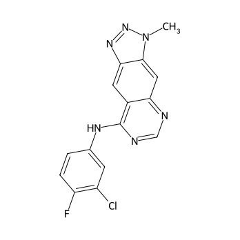 Cn1nnc2cc3c(Nc4ccc(F)c(Cl)c4)ncnc3cc21